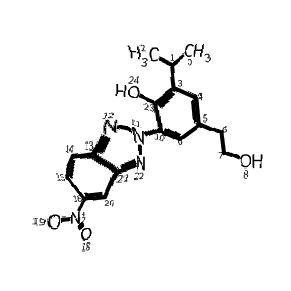 CC(C)c1cc(CCO)cc(-n2nc3ccc([N+](=O)[O-])cc3n2)c1O